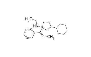 CC=C(c1ccccc1)S1(NCC)C=CC(C2CCCCC2)=C1